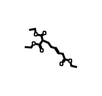 CCOC(=O)C/C=C/CCC(C(=O)OCC)C(=O)OCC